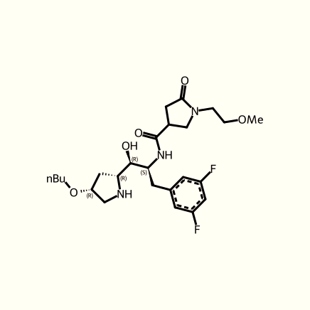 CCCCO[C@H]1CN[C@@H]([C@@H](O)[C@H](Cc2cc(F)cc(F)c2)NC(=O)C2CC(=O)N(CCOC)C2)C1